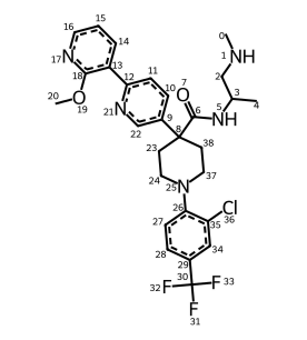 CNCC(C)NC(=O)C1(c2ccc(-c3cccnc3OC)nc2)CCN(c2ccc(C(F)(F)F)cc2Cl)CC1